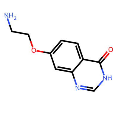 NCCOc1ccc2c(=O)[nH]cnc2c1